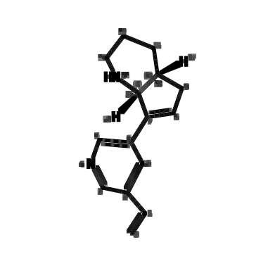 C=Cc1cncc(C2=CC[C@H]3CCCN[C@@H]23)c1